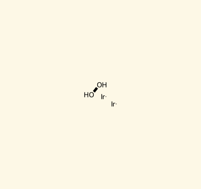 OO.[Ir].[Ir]